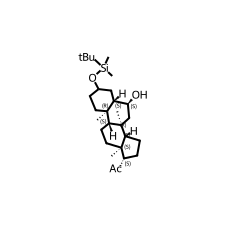 CC(=O)[C@H]1CC[C@H]2[C@]3(C)C[C@H](O)[C@H]4CC(O[Si](C)(C)C(C)(C)C)CC[C@]4(C)[C@H]3CC[C@@]21C